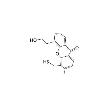 Cc1ccc2c(=O)c3cccc(CCO)c3oc2c1CS